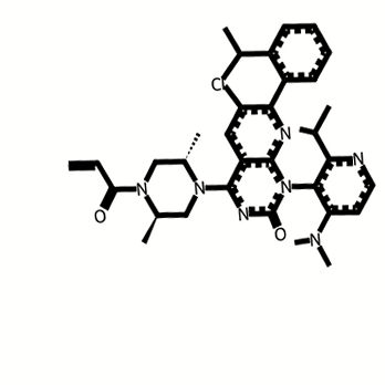 C=CC(=O)N1C[C@H](C)N(c2nc(=O)n(-c3c(N(C)C)ccnc3C(C)C)c3nc(-c4ccccc4C(C)C)c(Cl)cc23)C[C@H]1C